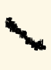 Cn1ncc(-c2nc(N[C@H]3CC[C@H](NCC(=O)NCCNC(=O)NCc4cc5c(s4)C(=O)N(C4CCC(=O)NC4=O)C5)CC3)ncc2Cl)c1CC1CC1